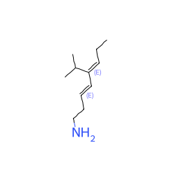 CC/C=C(/C=C/CCN)C(C)C